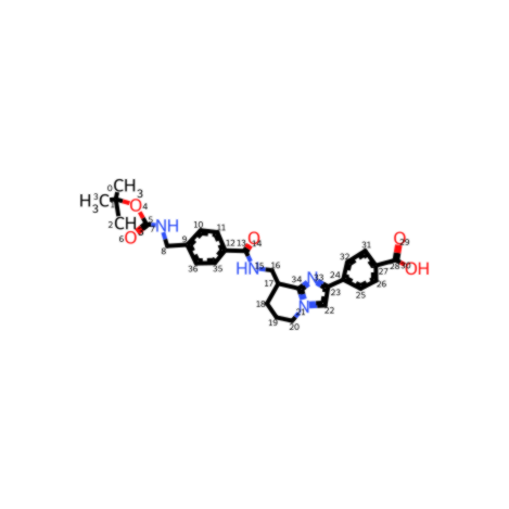 CC(C)(C)OC(=O)NCc1ccc(C(=O)NCC2CCCn3cc(-c4ccc(C(=O)O)cc4)nc32)cc1